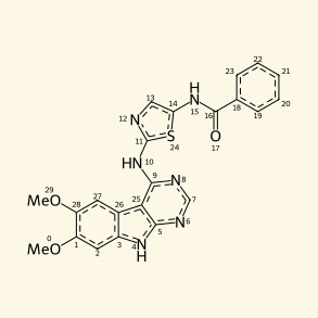 COc1cc2[nH]c3ncnc(Nc4ncc(NC(=O)c5ccccc5)s4)c3c2cc1OC